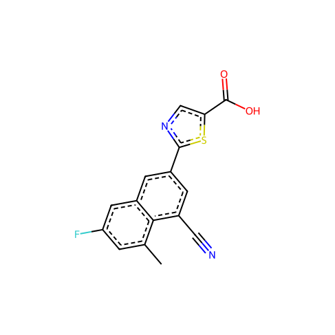 Cc1cc(F)cc2cc(-c3ncc(C(=O)O)s3)cc(C#N)c12